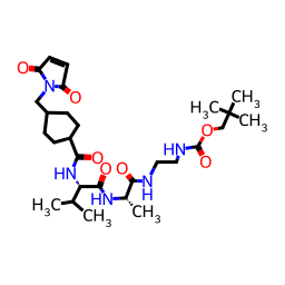 CC(C)[C@H](NC(=O)C1CCC(CN2C(=O)C=CC2=O)CC1)C(=O)N[C@@H](C)C(=O)NCCNC(=O)OCC(C)(C)C